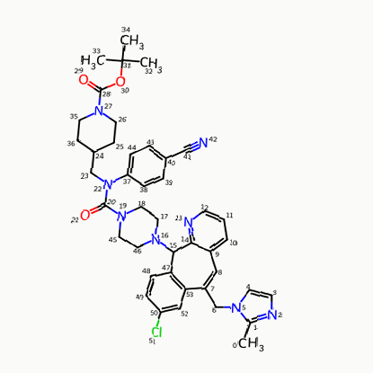 Cc1nccn1CC1=Cc2cccnc2C(N2CCN(C(=O)N(CC3CCN(C(=O)OC(C)(C)C)CC3)c3ccc(C#N)cc3)CC2)c2ccc(Cl)cc21